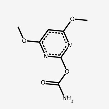 COc1cc(OC)nc(OC(N)=O)n1